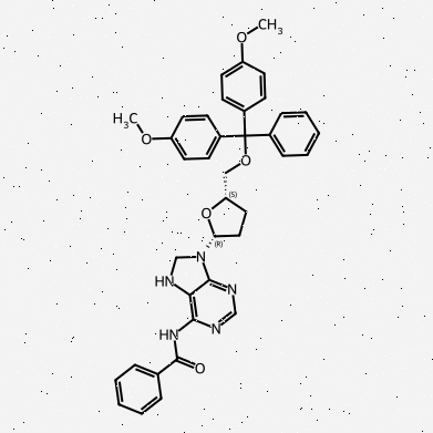 COc1ccc(C(OC[C@@H]2CC[C@H](N3CNc4c(NC(=O)c5ccccc5)ncnc43)O2)(c2ccccc2)c2ccc(OC)cc2)cc1